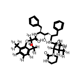 [2H]c1c([2H])c(C([2H])([2H])[2H])c(OC([2H])([2H])C(=O)N[C@@H](Cc2ccccc2)[C@@H](O)C[C@H](Cc2ccccc2)NC(=O)[C@@]([2H])(N2CCCNC2=O)C([2H])(C([2H])([2H])[2H])C([2H])([2H])[2H])c(C([2H])([2H])[2H])c1[2H]